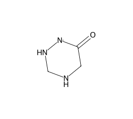 O=C1CNCN[N]1